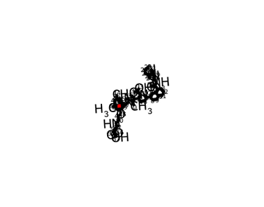 Cc1c(-c2ccc(-c3ccc4cccc(C(=O)Nc5nc6ncccc6s5)c4c3)nc2C(=O)O)cnn1CC12CC3(C)CC(C)(C1)CC(OCCNCCS(=O)(=O)O)(C3)C2